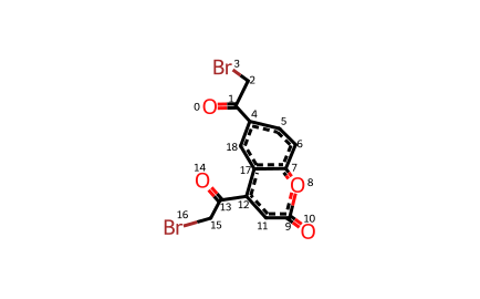 O=C(CBr)c1ccc2oc(=O)cc(C(=O)CBr)c2c1